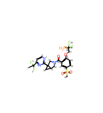 CC(F)(F)c1ccnc(C23CC2CN(C(=O)c2cc(S(C)(=O)=O)ccc2OCC(F)(F)P)C3)n1